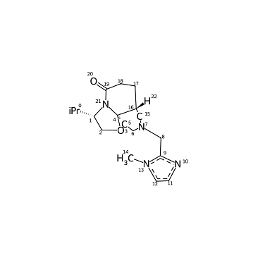 CC(C)[C@H]1CO[C@]23CCN(Cc4nccn4C)C[C@H]2CCC(=O)N13